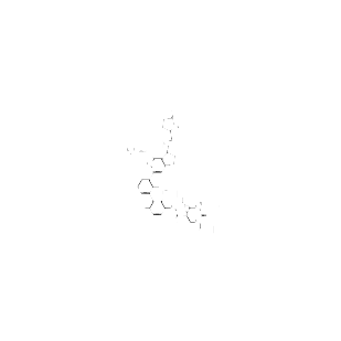 COc1nc(-c2cccc(-c3c(F)ccc(NC(=O)c4cn(C)c(=O)n(C)c4=O)c3C)c2Cl)cc2c1C(NCC1CCC(=O)N1)CC2